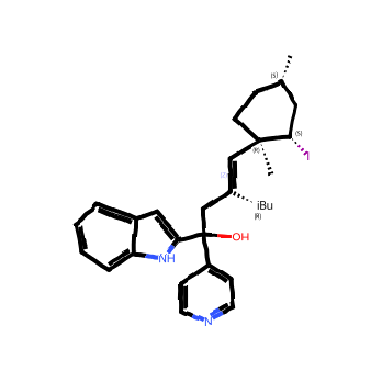 CC[C@@H](C)/C(=C\[C@@]1(C)CC[C@H](C)C[C@@H]1I)CC(O)(c1ccncc1)c1cc2ccccc2[nH]1